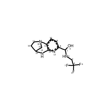 OC(NCC(F)(F)F)c1ccc2c(n1)NC1CCN2C1